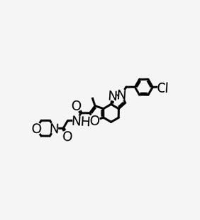 Cc1c(C(=O)NCC(=O)N2CCOCC2)oc2c1-c1nn(Cc3ccc(Cl)cc3)cc1CC2